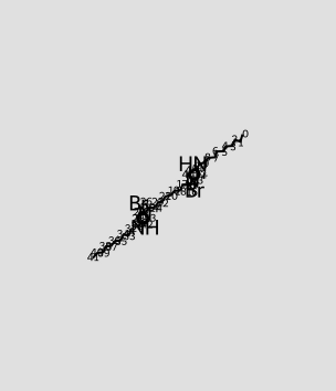 CCCCCCCCCCNc1cc[n+](C(Br)CCCCCCCCC(Br)[n+]2ccc(NCCCCCCCCCC)cc2)cc1